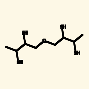 CC(S)C(S)COCC(S)C(C)S